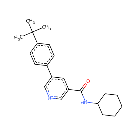 CC(C)(C)c1ccc(-c2cncc(C(=O)NC3CCCCC3)c2)cc1